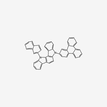 c1ccc2cc(-n3c4ccccc4c4ccc5c(c6ccccc6n5-c5ccc6c7ccccc7c7ccccc7c6c5)c43)ccc2c1